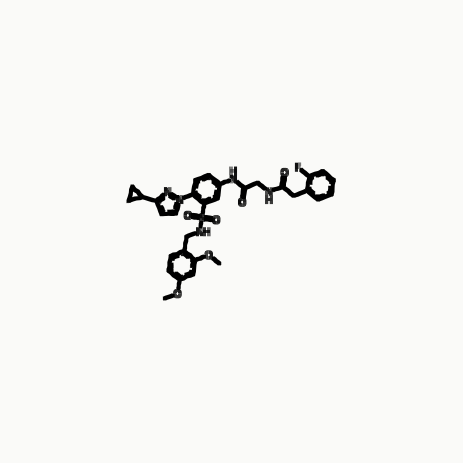 COc1ccc(CNS(=O)(=O)c2cc(NC(=O)CNC(=O)Cc3ccccc3F)ccc2-n2ccc(C3CC3)n2)c(OC)c1